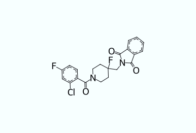 O=C(c1ccc(F)cc1Cl)N1CCC(F)(CN2C(=O)c3ccccc3C2=O)CC1